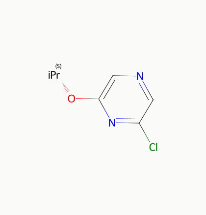 [CH2][C@@H](C)Oc1cncc(Cl)n1